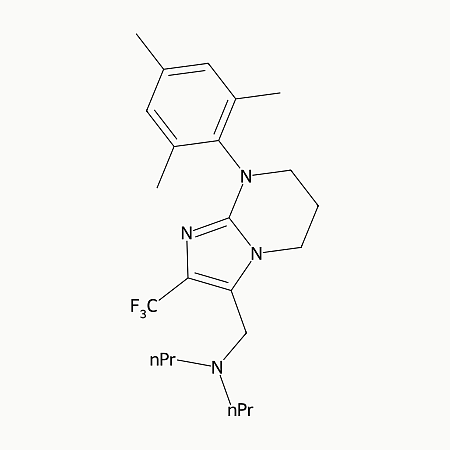 CCCN(CCC)Cc1c(C(F)(F)F)nc2n1CCCN2c1c(C)cc(C)cc1C